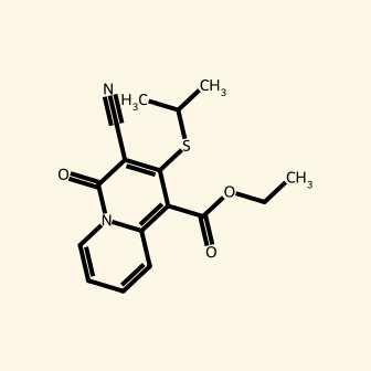 CCOC(=O)c1c(SC(C)C)c(C#N)c(=O)n2ccccc12